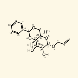 C=CCO[C@H]1O[C@@H]2COC(c3ccccc3)O[C@H]2[C@H](O)[C@H]1O